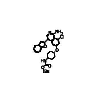 CC(C)(C)OC(=O)N[C@H]1CC[C@H](Oc2cc(Cl)c3c(N)ncc(-c4cc5ccccc5o4)c3c2)CC1